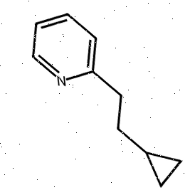 c1ccc(CCC2CC2)nc1